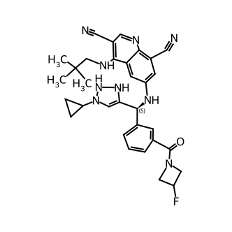 CC(C)(C)CNc1c(C#N)cnc2c(C#N)cc(N[C@H](C3=CN(C4CC4)NN3)c3cccc(C(=O)N4CC(F)C4)c3)cc12